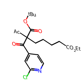 CCOC(=O)CCCCC(C(C)=O)(C(=O)OC(C)(C)C)C(=O)c1ccnc(Cl)c1